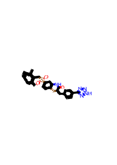 Cc1cccc(C)c1CS(=O)(=O)c1ccc2c(c1)NC(=O)/C(=C\c1ccc(-c3nn[nH]n3)cc1)S2